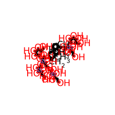 C=C1C[C@@]2(C)CCC3[C@](C)(COC(O)/C(OC4OC(CO)C(O)C(O)C4O)=C(/O)C(O)CCO)CCC[C@@]3(C)[C@@H]2CCC1OC(O)/C(OC1OC(CO)C(O)C(O)C1O)=C(/OC(O)/C(O)=C(/O)C(O)CCO)C(O)CCOC(O)/C(O)=C(\O)C(O)CCO